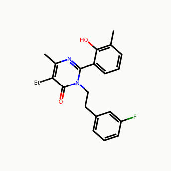 CCc1c(C)nc(-c2cccc(C)c2O)n(CCc2cccc(F)c2)c1=O